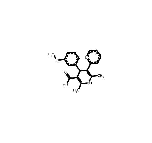 COc1cccc(C2C(C(=O)O)=C(C)NC(C)=C2c2ccccn2)c1